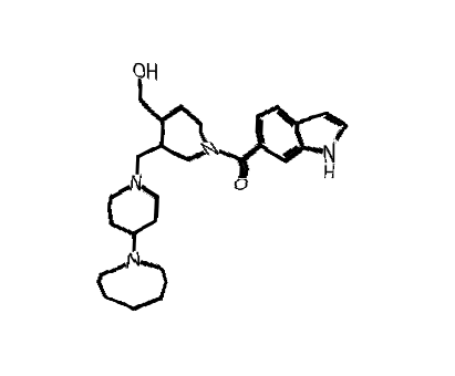 O=C(c1ccc2cc[nH]c2c1)N1CCC(CO)C(CN2CCC(N3CCCCC3)CC2)C1